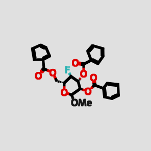 COC1O[C@H](COC(=O)c2ccccc2)[C@@H](F)[C@H](OC(=O)c2ccccc2)[C@H]1OC(=O)c1ccccc1